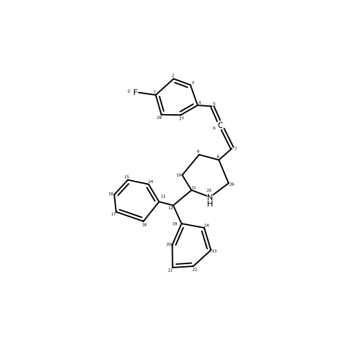 Fc1ccc(C=C=CC2CCC(C(c3ccccc3)c3ccccc3)NC2)cc1